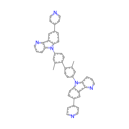 Cc1cc(-n2c3ccc(-c4ccncc4)cc3c3ncccc32)ccc1-c1ccc(-n2c3ccc(-c4ccncc4)cc3c3ncccc32)cc1C